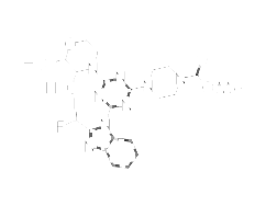 COC(=O)N1CCN(c2nc(N3CCO[C@H](C)[C@@H]3C)nc(-n3c(C(F)F)nc4ccccc43)n2)CC1